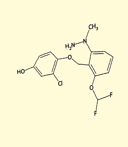 CN(N)c1cccc(OC(F)F)c1COc1ccc(O)cc1Cl